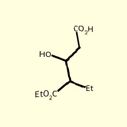 CCOC(=O)C(CC)C(O)CC(=O)O